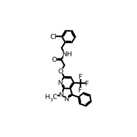 Cn1nc(-c2ccccc2)c2c(C(F)(F)F)cc(OCC(=O)NCc3ccccc3Cl)nc21